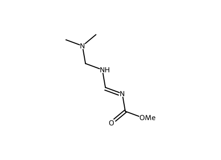 COC(=O)N=CNCN(C)C